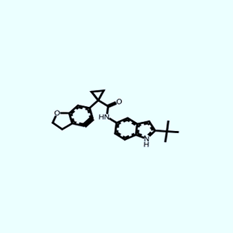 CC(C)(C)c1cc2cc(NC(=O)C3(c4c#cc5c(c4)OCC5)CC3)ccc2[nH]1